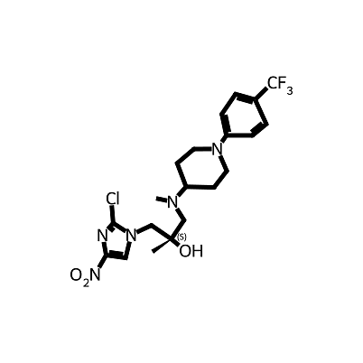 CN(C[C@](C)(O)Cn1cc([N+](=O)[O-])nc1Cl)C1CCN(c2ccc(C(F)(F)F)cc2)CC1